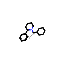 C[C@@H](C1CCCCC1)N1CCCCC1c1ccccc1